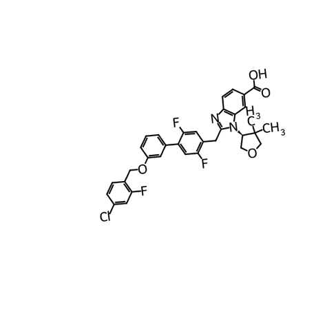 CC1(C)COC[C@H]1n1c(Cc2cc(F)c(-c3cccc(OCc4ccc(Cl)cc4F)c3)cc2F)nc2ccc(C(=O)O)cc21